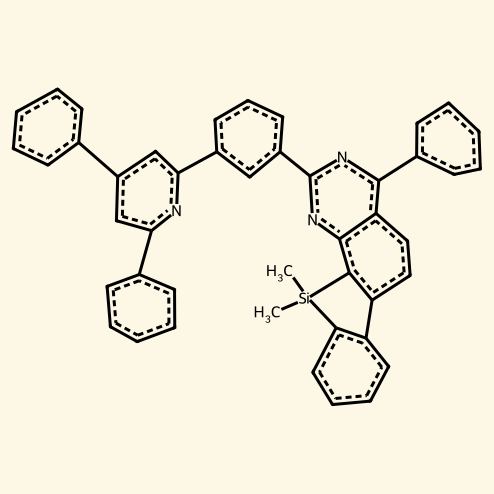 C[Si]1(C)c2ccccc2-c2ccc3c(-c4ccccc4)nc(-c4cccc(-c5cc(-c6ccccc6)cc(-c6ccccc6)n5)c4)nc3c21